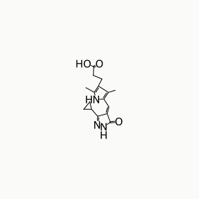 Cc1[nH]c(C=C2C(=O)NN=C2C2CC2)c(C)c1CCC(=O)O